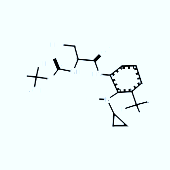 CCC(NC(=O)OC(C)(C)C)C(=O)Nc1cccc(C(F)(F)F)c1N(C)C1CC1